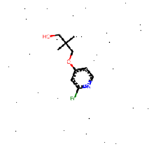 CC(C)(CO)COc1ccnc(Br)c1